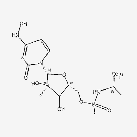 C[C@H](NP(C)(=O)OC[C@H]1O[C@@H](n2ccc(NO)nc2=O)[C@](C)(O)C1O)C(=O)O